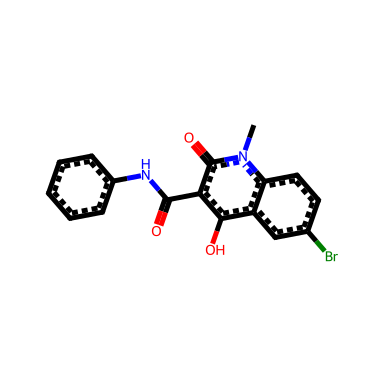 Cn1c(=O)c(C(=O)Nc2ccccc2)c(O)c2cc(Br)ccc21